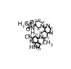 C[C@@H]1Cc2ncnc(N3CCC[C@@H](NS(C)(=O)=O)C3)c2CN1c1cc(Cl)nc2[nH]ccc12